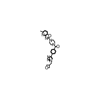 Cc1ccc2oc(N3CCN(C(=O)c4ccc(-c5cn(CC6COC6)nn5)cc4)CC3)nc2n1